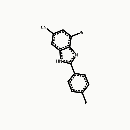 [C-]#[N+]c1cc(Br)c2nc(-c3ccc(F)cc3)[nH]c2c1